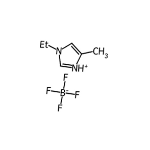 CCn1c[nH+]c(C)c1.F[B-](F)(F)F